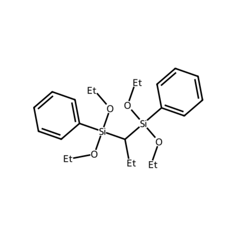 CCO[Si](OCC)(c1ccccc1)C(CC)[Si](OCC)(OCC)c1ccccc1